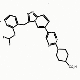 O=C(O)C1CCN(c2ncc(-c3ccc4nnc(Cc5ccccc5OC(F)F)n4c3)cn2)CC1